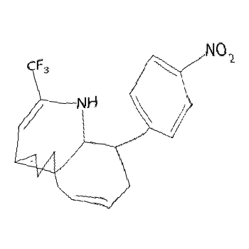 O=[N+]([O-])c1ccc(C2CC=CC34CCC=C3C=C(C(F)(F)F)NC24)cc1